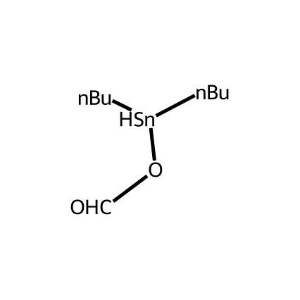 CCC[CH2][SnH]([CH2]CCC)[O]C=O